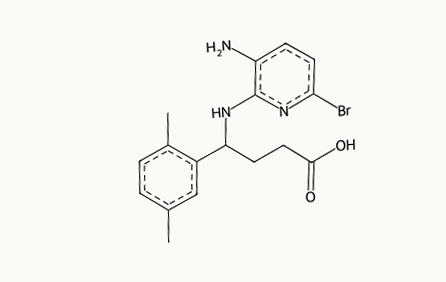 Cc1ccc(C)c(C(CCC(=O)O)Nc2nc(Br)ccc2N)c1